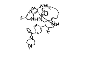 CN1CCN(C(=O)c2ccc(C3C(F)CNC4(CCCCCCCCC4)C3NC(=O)c3c(N)nn4cc(F)cnc34)cc2)CC1